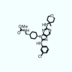 COC(=O)NC[C@H]1CC[C@@H](n2c(Nc3cccc(Cl)c3)nc3cnc(NC4(C)CCOCC4)nc32)CC1